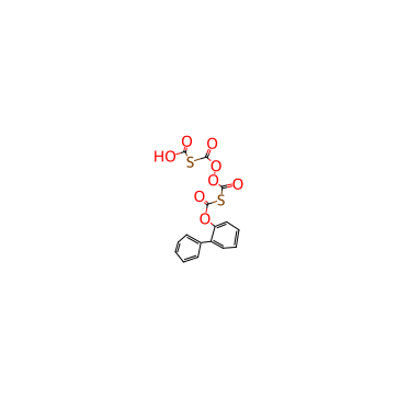 O=C(O)SC(=O)OOC(=O)SC(=O)Oc1ccccc1-c1ccccc1